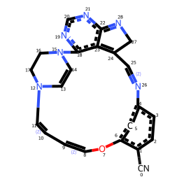 N#Cc1ccc2cc1O/C=C\C=C/N1C=CN(CC1)c1ncnc3c1=C(/C=N\2)CN=3